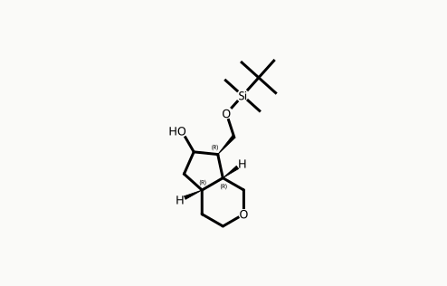 CC(C)(C)[Si](C)(C)OC[C@@H]1C(O)C[C@H]2CCOC[C@H]21